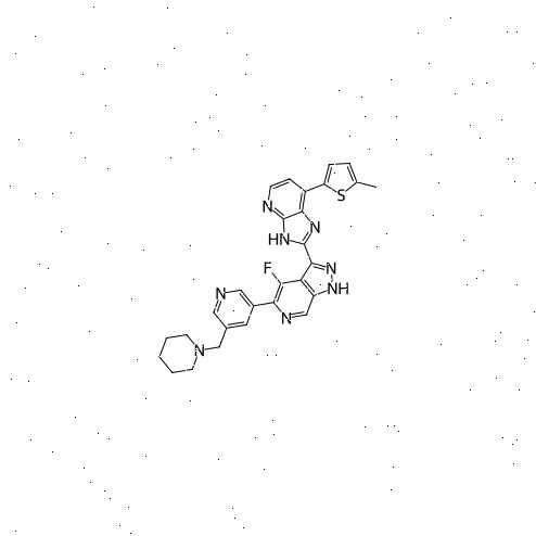 Cc1ccc(-c2ccnc3[nH]c(-c4n[nH]c5cnc(-c6cncc(CN7CCCCC7)c6)c(F)c45)nc23)s1